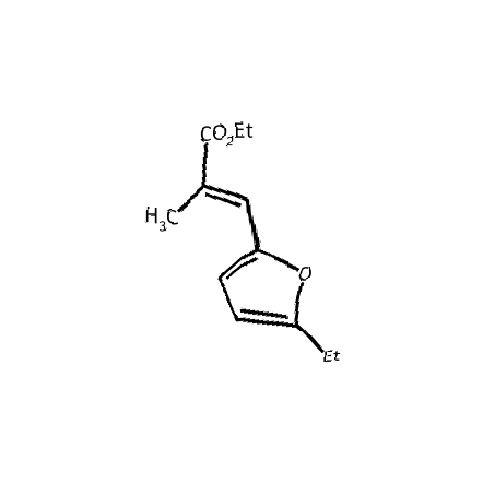 CCOC(=O)/C(C)=C/c1ccc(CC)o1